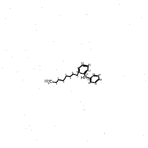 CCCCCCCCc1ccccc1Nc1ccccc1